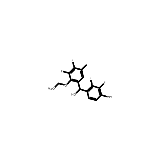 CCCc1ccc(C(O)c2cc(C)c(F)c(F)c2OCOC)c(F)c1F